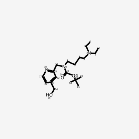 CCN(CC)CCCCN(Cc1cc(CO)ccn1)C(=O)OC(C)(C)C